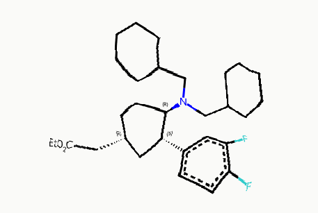 CCOC(=O)C[C@@H]1CC[C@@H](N(CC2CCCCC2)CC2CCCCC2)[C@H](c2ccc(F)c(F)c2)C1